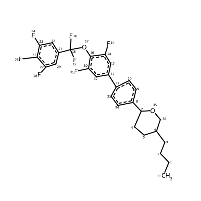 CCCCC1CCC(c2ccc(-c3cc(F)c(OC(F)(F)c4cc(F)c(F)c(F)c4)c(F)c3)cc2)OC1